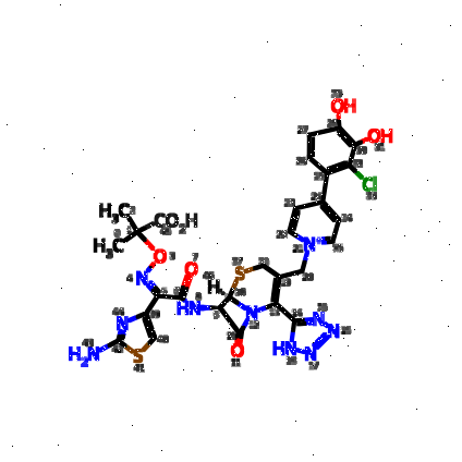 CC(C)(O/N=C(\C(=O)N[C@@H]1C(=O)N2C(c3nnn[nH]3)=C(C[n+]3ccc(-c4ccc(O)c(O)c4Cl)cc3)CS[C@H]12)c1csc(N)n1)C(=O)O